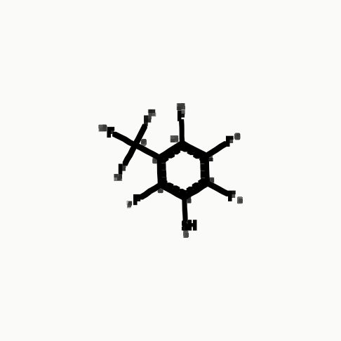 Fc1c(F)c(S)c(F)c(C(F)(F)F)c1F